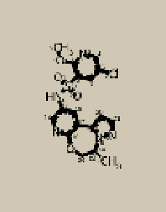 COc1ncc(Cl)cc1S(=O)(=O)Nc1cnc2c(c1)-c1ccnn1[C@@H](C)CO2